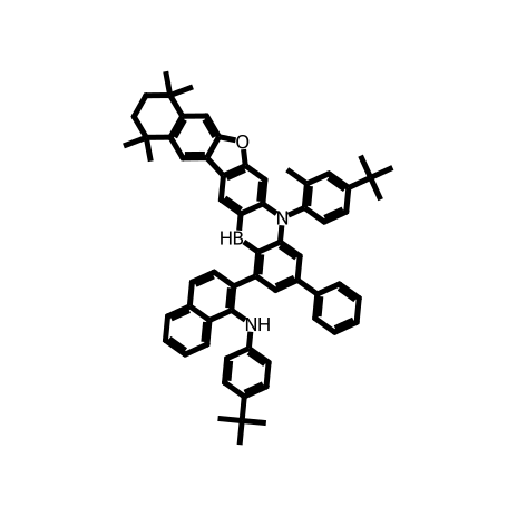 Cc1cc(C(C)(C)C)ccc1N1c2cc3oc4cc5c(cc4c3cc2Bc2c(-c3ccc4ccccc4c3Nc3ccc(C(C)(C)C)cc3)cc(-c3ccccc3)cc21)C(C)(C)CCC5(C)C